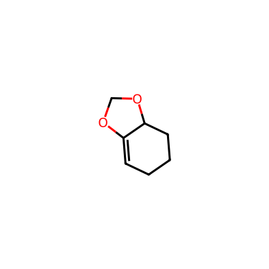 C1=C2OCOC2CCC1